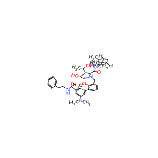 COc1c(CN2C[C@H](O)[C@@H]([C@H](C)O)[C@H]2C(=O)NC2C[C@H]3C[C@@H]([C@@H]2C)C3(C)C)cccc1-c1cc(C(=O)NCCc2ccccc2)cc(N(C)C)c1